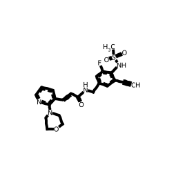 C#Cc1cc(CNC(=O)C=Cc2cccnc2N2CCOCC2)cc(F)c1NS(C)(=O)=O